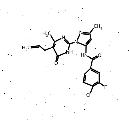 C=CCc1c(C)nc(-n2nc(C)cc2NC(=O)c2ccc(Cl)c(F)c2)[nH]c1=O